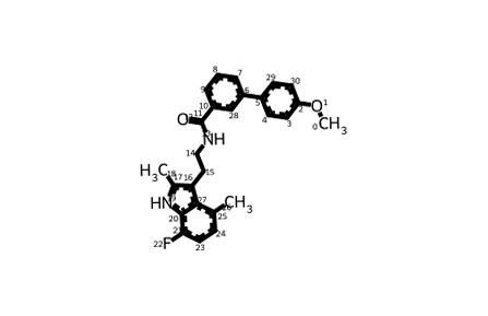 COc1ccc(-c2cccc(C(=O)NCCc3c(C)[nH]c4c(F)ccc(C)c34)c2)cc1